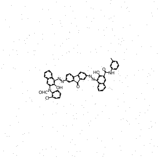 Cc1cccc(NC(=O)c2cc3ccccc3c(N=Nc3ccc4c(c3)C(=O)c3cc(N=Nc5c(O)c(N(C=O)c6ccccc6Cl)cc6ccccc56)ccc3-4)c2O)c1